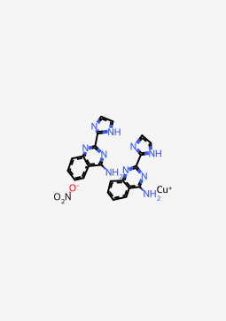 Nc1nc(-c2ncc[nH]2)nc2ccccc12.Nc1nc(-c2ncc[nH]2)nc2ccccc12.O=[N+]([O-])[O-].[Cu+]